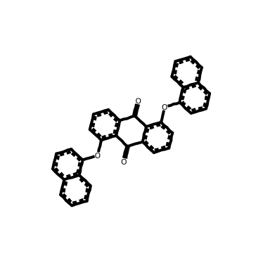 O=C1c2cccc(Oc3cccc4ccccc34)c2C(=O)c2cccc(Oc3cccc4ccccc34)c21